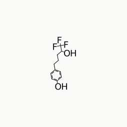 Oc1ccc(CCCC(O)C(F)(F)F)cc1